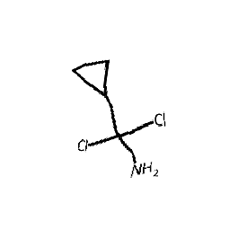 NC(Cl)(Cl)C1CC1